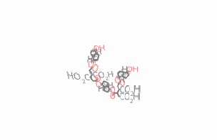 O=C(O)CC(C(=O)O[C@@H]1CC[C@H]2[C@@H]1CC[C@H]2OC(=O)CC(C(=O)O)/C(=C/C(=O)O[C@H]1CC[C@H]2[C@@H]1CC[C@H]2O)C(=O)O)C(CC(=O)O[C@@H]1CC[C@H]2[C@@H]1CC[C@H]2O)C(=O)O